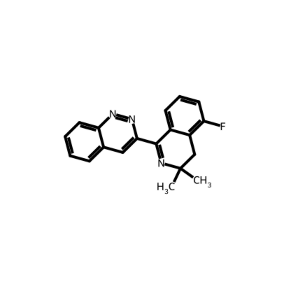 CC1(C)Cc2c(F)cccc2C(c2cc3ccccc3nn2)=N1